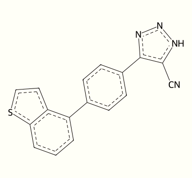 N#Cc1[nH]nnc1-c1ccc(-c2cccc3sccc23)cc1